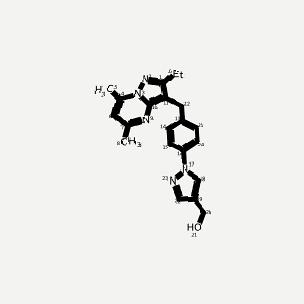 CCc1nn2c(C)cc(C)nc2c1Cc1ccc(-n2cc(CO)cn2)cc1